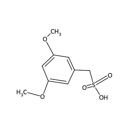 COc1cc(CS(=O)(=O)O)cc(OC)c1